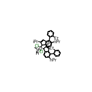 CCCc1ccc2c(c1-c1ccccc1CC)C=C(C(C)C)[CH]2[Zr]([Cl])([Cl])([CH]1C(C(C)C)=Cc2c1ccc(CCC)c2-c1ccccc1CC)[SiH](C)C